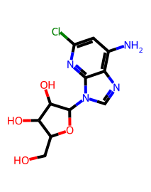 Nc1cc(Cl)nc2c1ncn2C1OC(CO)C(O)C1O